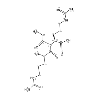 N=C(N)NCCCC(N)C(=O)N(C(=O)CN)[C@@H](CCCNC(=N)N)C(=O)O